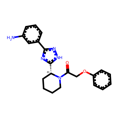 Nc1cccc(-c2n[nH]c([C@H]3CCCCN3C(=O)COc3ccccc3)n2)c1